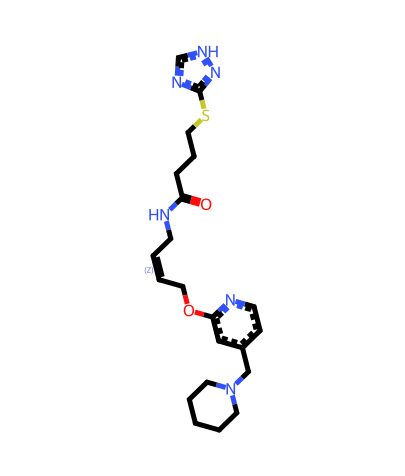 O=C(CCCSc1nc[nH]n1)NC/C=C\COc1cc(CN2CCCCC2)ccn1